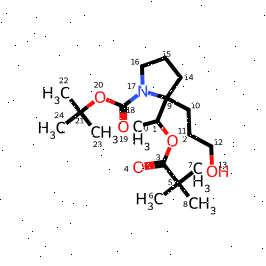 CC(OC(=O)C(C)(C)C)C1(CCCO)CCCN1C(=O)OC(C)(C)C